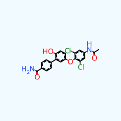 CC(=O)Nc1cc(Cl)c(Oc2ccc(O)c(-c3ccc(C(N)=O)cc3)c2)c(Cl)c1